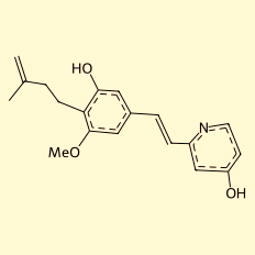 C=C(C)CCc1c(O)cc(C=Cc2cc(O)ccn2)cc1OC